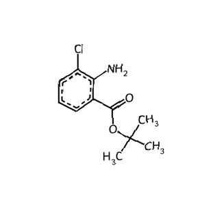 CC(C)(C)OC(=O)c1cccc(Cl)c1N